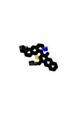 Cc1c2c(c(CC(C)(C)C)c3cc4ccccc4cc13)Sc1c3ccc(CC(C)(C)C)cc3cc3cc[n+](C)c-2c13